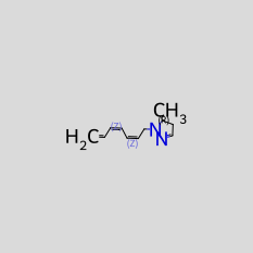 C=C/C=C\C=C/CN1N=CC[C@H]1C